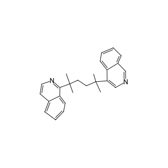 CC(C)(CCC(C)(C)c1nccc2ccccc12)c1cncc2ccccc12